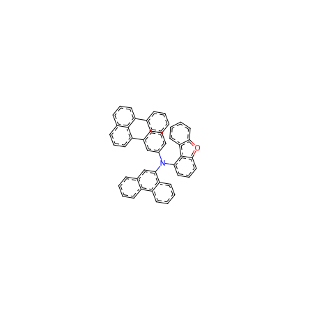 c1ccc(-c2cccc3cccc(-c4cccc(N(c5cc6ccccc6c6ccccc56)c5cccc6oc7ccccc7c56)c4)c23)cc1